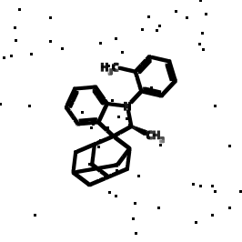 Cc1ccccc1N1c2ccccc2C2(C3CC4CC(C3)CC2C4)[C@@H]1C